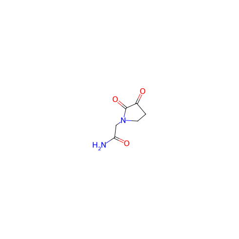 NC(=O)CN1CCC(=O)C1=O